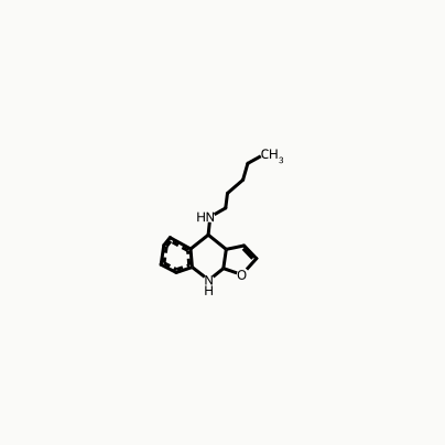 CCCCCNC1c2ccccc2NC2OC=CC21